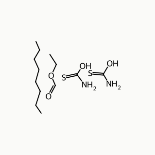 CCCCCCCC.CCOC=O.NC(O)=S.NC(O)=S